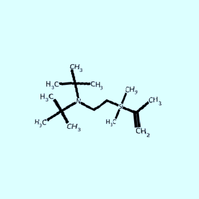 C=C(C)[Si](C)(C)CCN(C(C)(C)C)C(C)(C)C